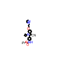 CC(C)OC(=O)Nc1ccc(-c2c(C#N)c3ccc(OCCCn4cccn4)cc3n2C2CCC2)cc1